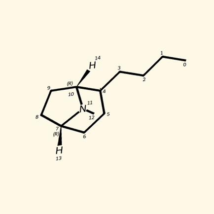 CCCC[C]1CC[C@@H]2CC[C@H]1N2C